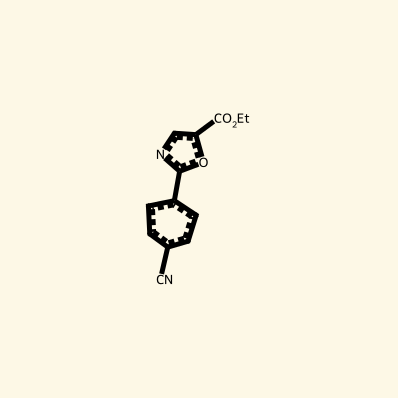 CCOC(=O)c1cnc(-c2ccc(C#N)cc2)o1